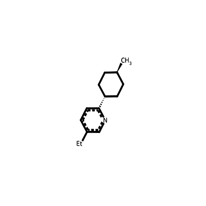 CCc1ccc([C@H]2CC[C@H](C)CC2)nc1